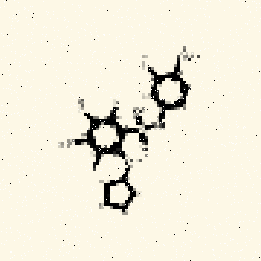 COc1ccc(NS(=O)(=O)c2c(F)c(F)c(F)c(F)c2OC2CCCC2)cc1F